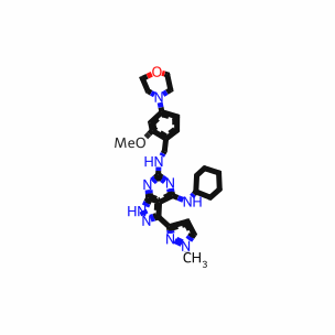 COc1cc(N2CCOCC2)ccc1CNc1nc(NC2CCCCC2)c2c(-c3ccn(C)n3)n[nH]c2n1